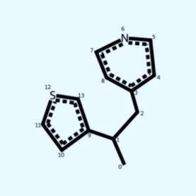 CC(Cc1ccncc1)c1ccsc1